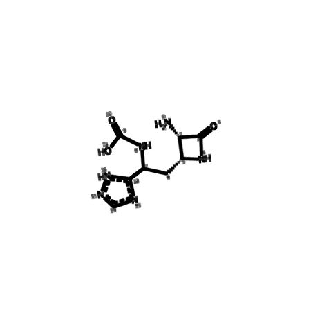 N[C@@H]1C(=O)N[C@@H]1CC(NC(=O)O)c1ncn[nH]1